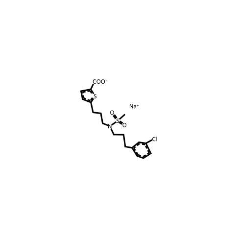 CS(=O)(=O)N(CCCc1cccc(Cl)c1)CCCc1ccc(C(=O)[O-])s1.[Na+]